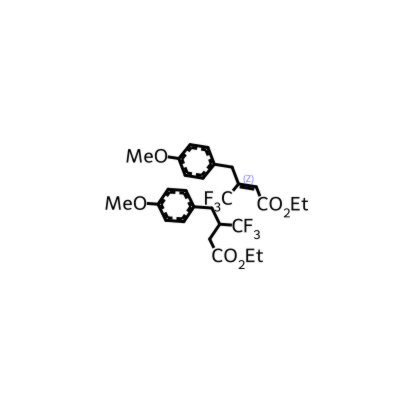 CCOC(=O)/C=C(/Cc1ccc(OC)cc1)C(F)(F)F.CCOC(=O)CC(Cc1ccc(OC)cc1)C(F)(F)F